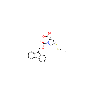 CSS[C@@H]1C[C@@H](C(=O)O)N(C(=O)OCC2c3ccccc3-c3ccccc32)C1